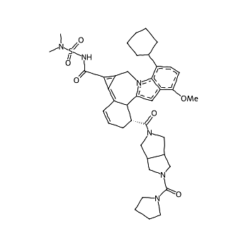 COc1ccc(C2CCCCC2)c2c1cc1n2CC2=C(C(=O)NS(=O)(=O)N(C)C)C2=C2C=CC[C@@H](C(=O)N3CC4CN(C(=O)N5CCCC5)CC4C3)C21